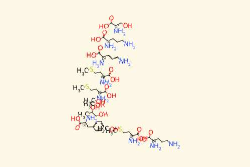 CC(O)CO.CO.CO.CO.CSCC[C@H](N)C(=O)O.CSCC[C@H](N)C(=O)O.CSCC[C@H](N)C(=O)O.NCCC[C@H](N)C(=O)O.NCCC[C@H](N)C(=O)O.NCCC[C@H](N)C(=O)O.N[C@@H](CO)C(=O)O.N[C@@H](Cc1ccccc1)C(=O)O